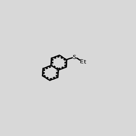 [CH2]CSc1ccc2ccccc2c1